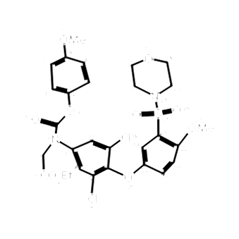 CCOC(=O)CN(C(=O)Oc1ccc(OC)cc1)c1cc(Cl)c(Oc2ccc(OC)c(S(=O)(=O)N3CCOCC3)c2)c(Cl)c1